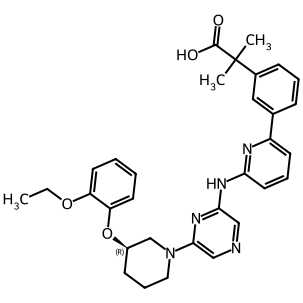 CCOc1ccccc1O[C@@H]1CCCN(c2cncc(Nc3cccc(-c4cccc(C(C)(C)C(=O)O)c4)n3)n2)C1